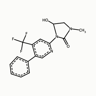 CN1CC(O)N(c2cc(C(F)(F)F)c(-c3ccccc3)cn2)C1=O